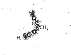 Cc1cc(C(=O)Nc2ccc(OC(F)(F)F)cc2)nn1Cc1ccc(N2CCC(S(C)(=O)=O)CC2)cc1